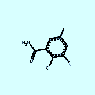 NC(=O)c1cc(I)cc(Cl)c1Cl